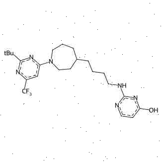 CC(C)(C)c1nc(N2CCCC(CCCCNc3nccc(O)n3)CC2)cc(C(F)(F)F)n1